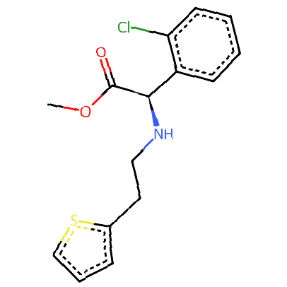 COC(=O)[C@H](NCCc1cccs1)c1ccccc1Cl